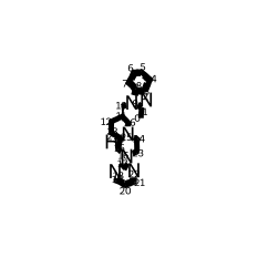 Cc1nc2ccccc2n1C[C@@H]1CC[C@H]2CN(c3ncccn3)CCN2C1